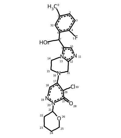 Cc1ccc(F)c(C(O)c2cnc3n2CCN(c2cnn(C4CCCCO4)c(=O)c2Cl)C3)c1